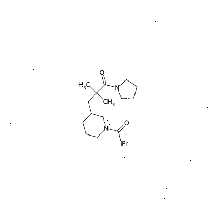 CC(C)C(=O)N1CCCC(CC(C)(C)C(=O)N2CCCC2)C1